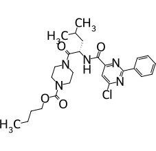 CCCCOC(=O)N1CCN(C(=O)[C@H](CC(C)C)NC(=O)c2cc(Cl)nc(-c3ccccc3)n2)CC1